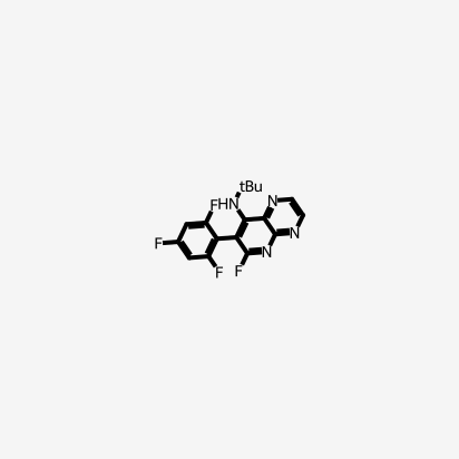 CC(C)(C)Nc1c(-c2c(F)cc(F)cc2F)c(F)nc2nccnc12